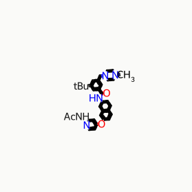 CC(=O)Nc1cc(Oc2ccc3c(c2)CC(NC(=O)c2cc(CN4CCN(C)CC4)cc(C(C)(C)C)c2)CC3)ccn1